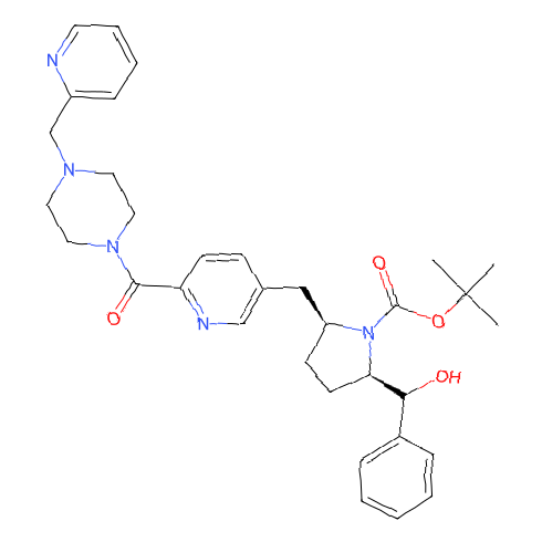 CC(C)(C)OC(=O)N1[C@H](Cc2ccc(C(=O)N3CCN(Cc4ccccn4)CC3)nc2)CC[C@@H]1C(O)c1ccccc1